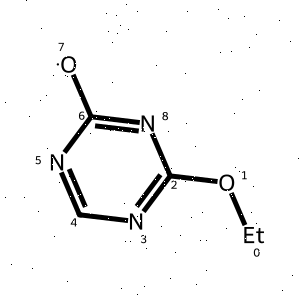 CCOc1ncnc([O])n1